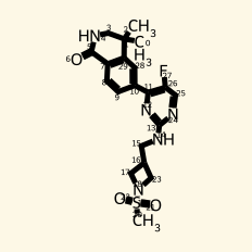 CC1(C)CNC(=O)c2ccc(-c3nc(NCC4CN(S(C)(=O)=O)C4)ncc3F)cc21